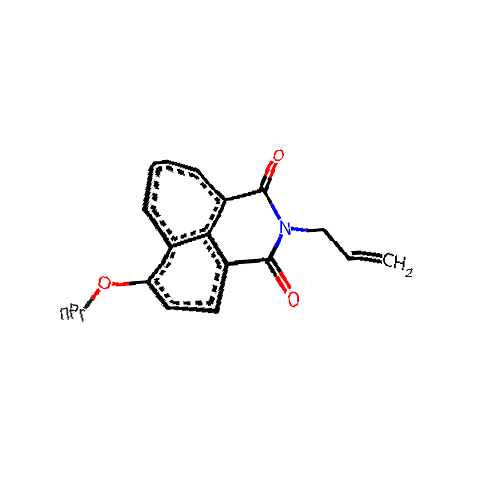 C=CCN1C(=O)c2cccc3c(OCCC)ccc(c23)C1=O